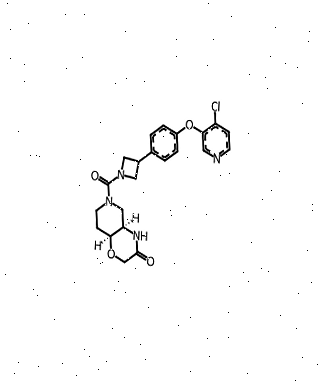 O=C1CO[C@H]2CCN(C(=O)N3CC(c4ccc(Oc5cnccc5Cl)cc4)C3)C[C@H]2N1